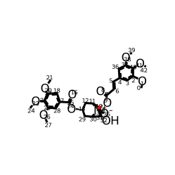 COc1cc(C=CC(=O)O[C@H]2C3C[C@H](OC(=O)c4cc(OC)c(OC)c(OC)c4)CC([C@H]2O)[N+]3(C)[O-])cc(OC)c1OC